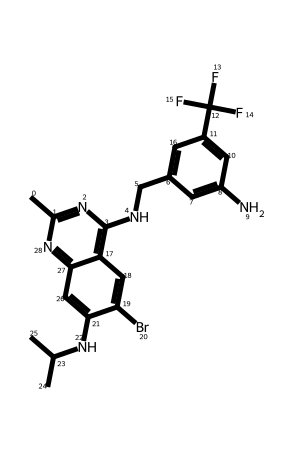 Cc1nc(NCc2cc(N)cc(C(F)(F)F)c2)c2cc(Br)c(NC(C)C)cc2n1